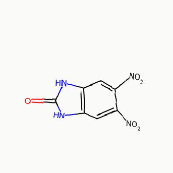 O=c1[nH]c2cc([N+](=O)[O-])c([N+](=O)[O-])cc2[nH]1